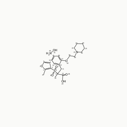 Cc1occc1S(=O)(=O)C(C)(Cc1ccccc1OCCN1CCCCC1)C(=O)O.NO